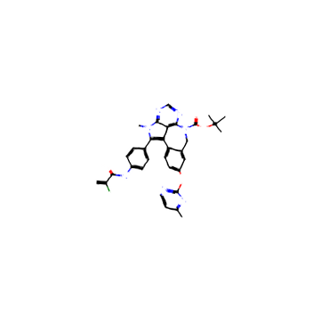 C=C(F)C(=O)Nc1ccc(-c2c3c4c(ncnc4n2C)N(C(=O)OC(C)(C)C)Cc2cc(Oc4nccc(C)n4)ccc2-3)cc1